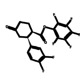 O=C1CC[C@@H](C(=O)Oc2c(F)c(F)c(F)c(F)c2F)[C@H](c2ccc(F)c(F)c2)C1